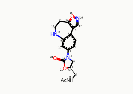 CC(=O)NC[C@H]1CN(c2ccc3c(c2)NCCc2oncc2-3)C(=O)O1